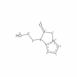 O=C1Cn2cccc2C1CCO